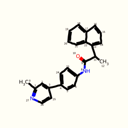 Cc1cc(-c2ccc(NC(=O)C(C)c3cccc4ccccc34)cc2)ccn1